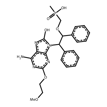 COCCOc1nc(N)c2nc(O)n(C(c3ccccc3)C(OCP(C)(=O)O)c3ccccc3)c2n1